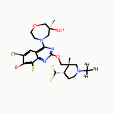 [2H]C([2H])([2H])N1CC[C@H](C(F)F)[C@](C)(COc2nc(N3CCOC[C@@](C)(O)C3)c3cc(Cl)c(Br)c(F)c3n2)C1